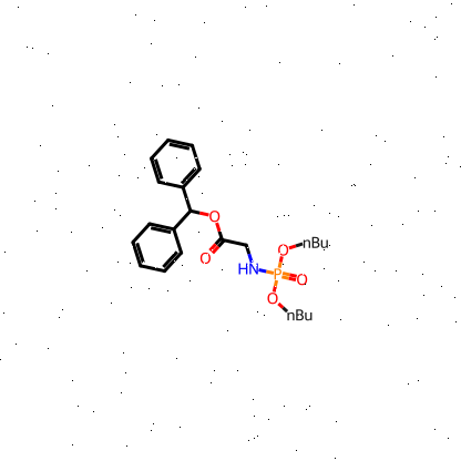 CCCCOP(=O)(NCC(=O)OC(c1ccccc1)c1ccccc1)OCCCC